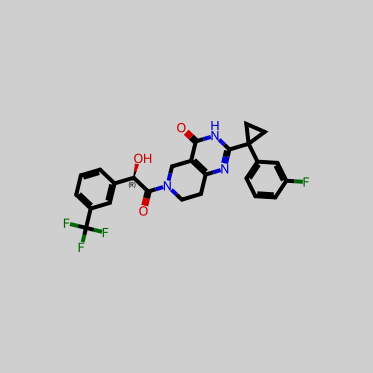 O=C([C@H](O)c1cccc(C(F)(F)F)c1)N1CCc2nc(C3(c4cccc(F)c4)CC3)[nH]c(=O)c2C1